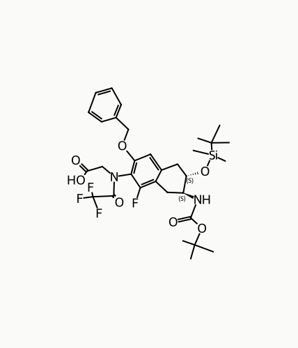 CC(C)(C)OC(=O)N[C@H]1Cc2c(cc(OCc3ccccc3)c(N(CC(=O)O)C(=O)C(F)(F)F)c2F)C[C@@H]1O[Si](C)(C)C(C)(C)C